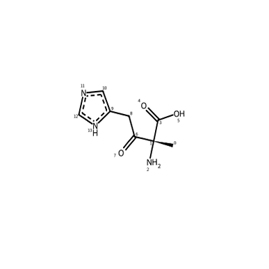 C[C@](N)(C(=O)O)C(=O)Cc1cnc[nH]1